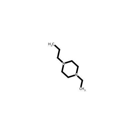 CC[CH]N1CCN(CC)CC1